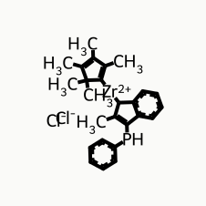 CC1=C(C)C(C)(C)[C]([Zr+2][CH]2C(C)=C(Pc3ccccc3)c3ccccc32)=C1C.[Cl-].[Cl-]